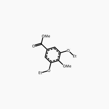 CCOc1cc(C(=O)OC)cc(OCC)c1OC